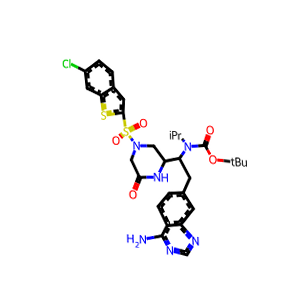 CC(C)N(C(=O)OC(C)(C)C)C(Cc1ccc2c(N)ncnc2c1)C1CN(S(=O)(=O)c2cc3ccc(Cl)cc3s2)CC(=O)N1